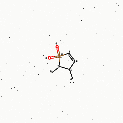 CC1C=[C]S(=O)(=O)C1C